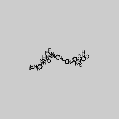 Cn1c(=O)n(C2CCC(=O)NC2=O)c2cccc(CN3CCC(CCN4CCC(n5cc(NC(=O)c6coc(-c7ccnc(NCC8CC8)c7)n6)c(C(F)F)n5)CC4)CC3)c21